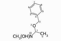 CC(OCc1ccccc1)N(C)O